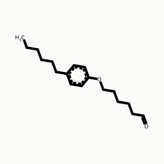 CCCCCCc1ccc(OCCCCCC=O)cc1